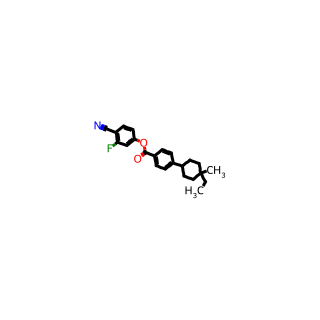 CCC1(C)CCC(c2ccc(C(=O)Oc3ccc(C#N)c(F)c3)cc2)CC1